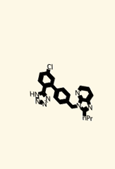 CCCc1nc2cccnc2n1Cc1ccc(-c2cc(Cl)ccc2-c2nnn[nH]2)cc1